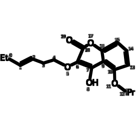 CC/C=C/CCOc1c(O)c2c(OC(C)C)cccc2oc1=O